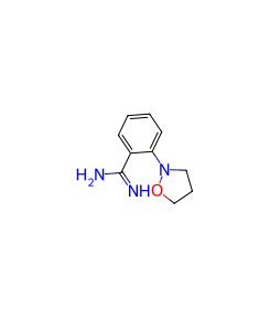 N=C(N)c1ccccc1N1CCCO1